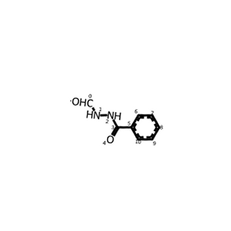 O=[C]NNC(=O)c1ccccc1